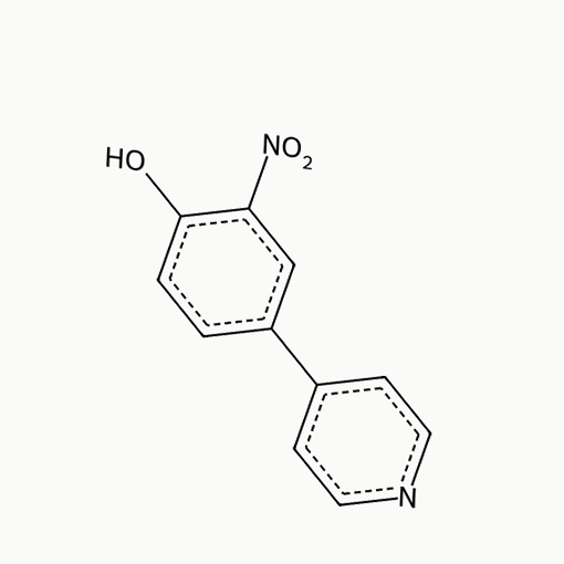 O=[N+]([O-])c1cc(-c2ccncc2)ccc1O